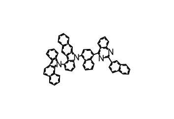 c1ccc2cc(-c3nc(-c4ccc(-n5c6cc7ccccc7cc6c6c(-n7c8ccccc8c8ccc9ccccc9c87)cccc65)c5ccccc45)c4ccccc4n3)ccc2c1